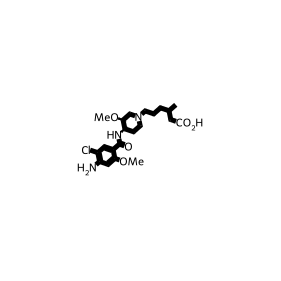 COc1cc(N)c(Cl)cc1C(=O)N[C@@H]1CCN(CCCC(C)CC(=O)O)C[C@@H]1OC